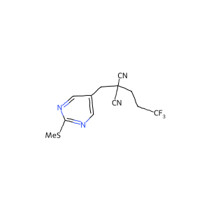 CSc1ncc(CC(C#N)(C#N)CCC(F)(F)F)cn1